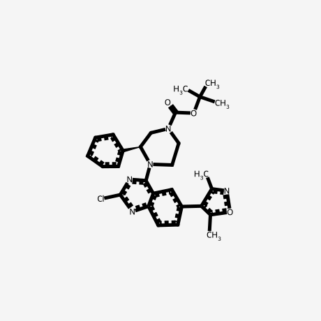 Cc1noc(C)c1-c1ccc2nc(Cl)nc(N3CCN(C(=O)OC(C)(C)C)C[C@@H]3c3ccccc3)c2c1